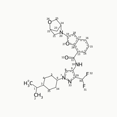 CC(C)C1CCC(n2cc(NC(=O)c3cccc4cc(N5CC6CC5CO6)oc34)c(C(F)F)n2)CC1